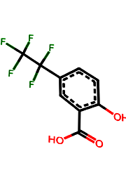 O=C(O)c1cc(C(F)(F)C(F)(F)F)ccc1O